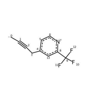 [CH2]C#CCc1ccnc(C(F)(F)F)c1